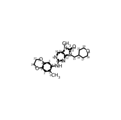 Cc1cc2c(cc1Nc1ncc3c(n1)n(CC1CCOCC1)c(=O)n3C)OCCO2